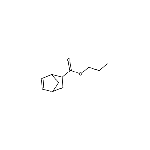 CCCOC(=O)C1CC2C=CC1C2